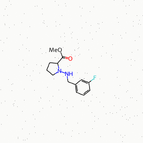 COC(=O)C1CCCN1NCc1cccc(F)c1